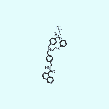 [N-]=[N+]=NS(=O)(=O)c1ccc(CN(CCSc2ccccc2)Cc2ccc(CNC(=O)c3cccc4ccccc34)cc2)cc1